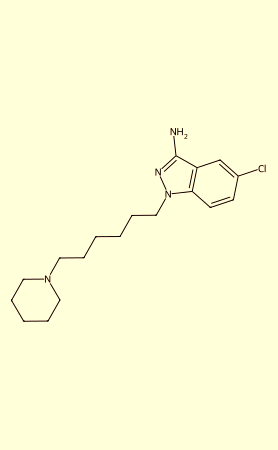 Nc1nn(CCCCCCN2CCCCC2)c2ccc(Cl)cc12